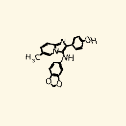 Cc1ccc2nc(-c3ccc(O)cc3)c(Nc3ccc4c(c3)OCO4)n2c1